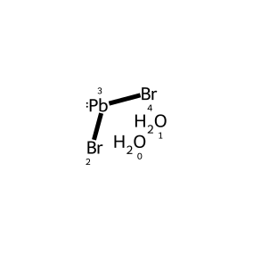 O.O.[Br][Pb][Br]